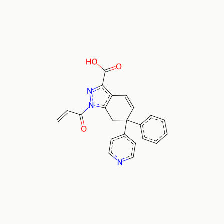 C=CC(=O)n1nc(C(=O)O)c2c1CC(c1ccccc1)(c1ccncc1)C=C2